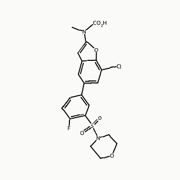 CN(C(=O)O)c1cc2cc(-c3ccc(F)c(S(=O)(=O)N4CCOCC4)c3)cc(Cl)c2o1